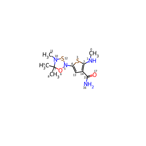 CNc1sc(N2OC(C)(C)N(C)S2)cc1C(N)=O